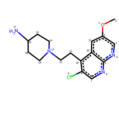 COc1cnc2ncc(Cl)c(CCN3CCC(N)CC3)c2c1